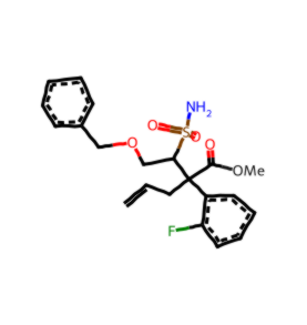 C=CCC(C(=O)OC)(c1ccccc1F)C(COCc1ccccc1)S(N)(=O)=O